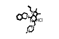 C=CCn1c(C)c(C)c2cc(CN3CCN(C)CC3)nc(N3CCc4ccccc4C3)c21.Cl